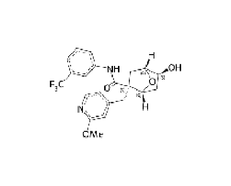 COc1cc(C[C@]2(C(=O)Nc3cccc(C(F)(F)F)c3)C[C@H]3O[C@@H]2C[C@@H]3O)ccn1